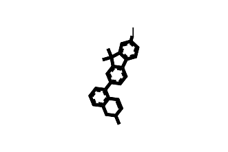 CC1C=Cc2c(cccc2-c2ccc3c(c2)C(C)(C)c2cc(I)ccc2-3)C1